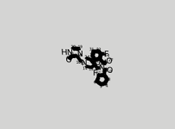 O=C(c1ccccc1F)N(CC1(O)CCN(Cc2ncc[nH]c2=O)CC1)C(=O)c1ccccc1F